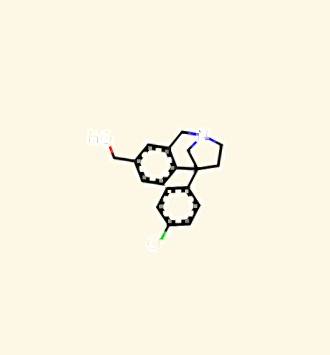 OCc1ccc2c(c1)CN1CCC2(c2ccc(Cl)cc2)C1